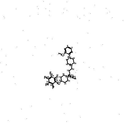 COc1ccccc1N1CCN(CCCN2CCC(Oc3c(F)c(F)c(F)c(F)c3F)CC2)CC1.Cl.Cl